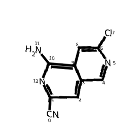 N#Cc1cc2cnc(Cl)cc2c(N)n1